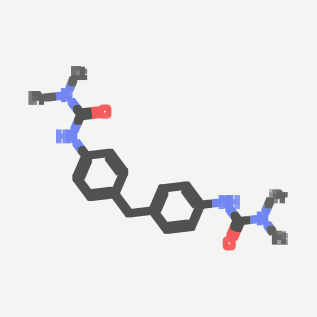 CCN(C(=O)Nc1ccc(Cc2ccc(NC(=O)N(CC)C(C)C)cc2)cc1)C(C)C